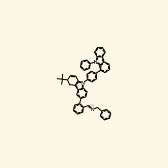 CC(C)(C)C1C=Cc2c(c3cc(-c4ccccc4/C=N/Cc4ccccc4)ccc3n2-c2ccc(-c3cccc4c5ccccc5n(-c5ccccc5)c34)cc2)C1